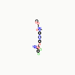 Cc1nn(CCCOC2CCCCO2)c(=O)n1-c1ccc(N2CCN(c3ccc(OCC4COC(Cn5cncn5)(c5ccc(Cl)cc5Cl)O4)cc3)CC2)cc1